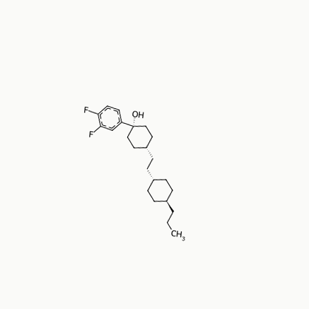 CCC[C@H]1CC[C@H](CC[C@H]2CC[C@](O)(c3ccc(F)c(F)c3)CC2)CC1